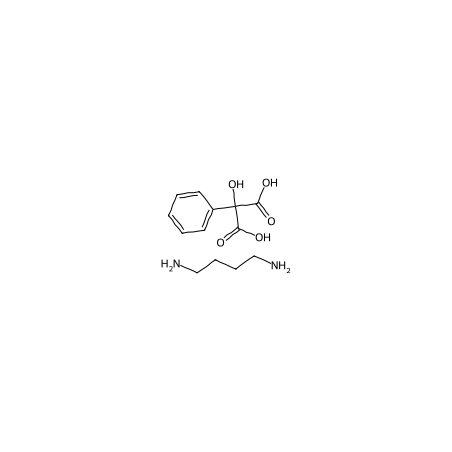 NCCCCN.O=C(O)C(O)(C(=O)O)c1ccccc1